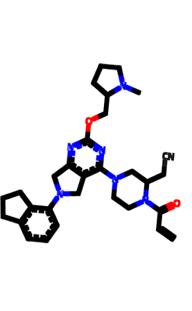 C=CC(=O)N1CCN(c2nc(OCC3CCCN3C)nc3c2CN(c2cccc4c2CCC4)C3)CC1CC#N